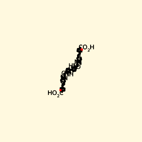 Cc1c(NC(=O)c2nc3c(n2C)CCN(CCC24CCC(C(=O)O)(CC2)C4)C3)cccc1-c1cccc(NC(=O)c2nc3c(n2C)CCN(CCC24CCC(C(=O)O)(CC2)C4)C3)c1C